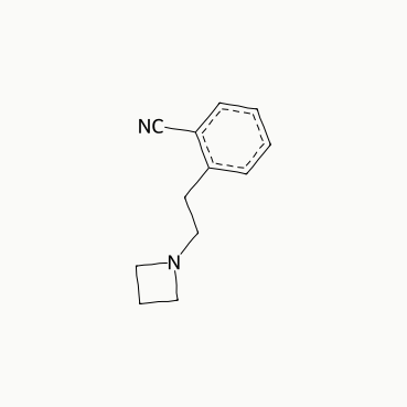 N#Cc1ccccc1CCN1CCC1